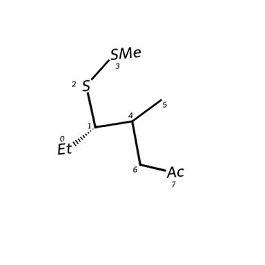 CC[C@H](SSC)C(C)CC(C)=O